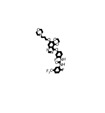 O=C(Nc1ccc(Oc2ncnc3cc(OCCCN4CCOCC4)c4c(c23)OCCO4)cc1F)Nc1cc(C(F)(F)F)ccc1F